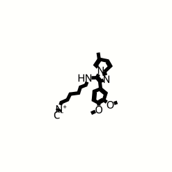 [C-]#[N+]CCCCCCNc1c(-c2ccc(OC)c(OC)c2)nc2ccc(C)cn12